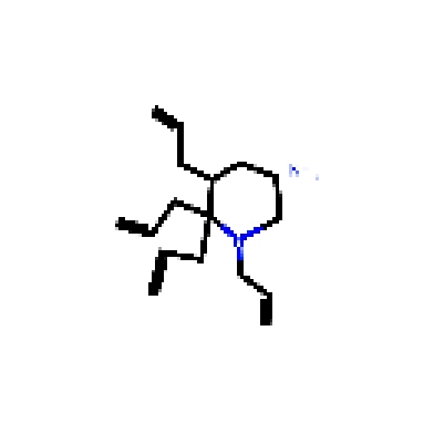 C=CCC1CCCN(CC=C)C1(CC=C)CC=C.N